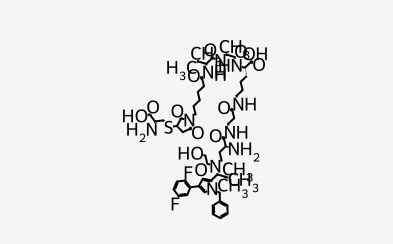 CC(C)C(NC(=O)CCCCCN1C(=O)CC(SC[C@H](N)C(=O)O)C1=O)C(=O)N[C@@H](C)C(=O)N[C@@H](CCCCNC(=O)CCNC(=O)[C@@H](N)CCN(C(=O)CO)[C@@H](c1cc(-c2cc(F)ccc2F)cn1Cc1ccccc1)C(C)(C)C)C(=O)O